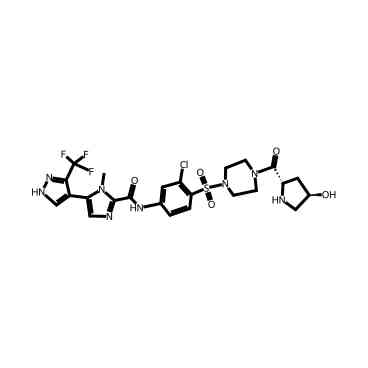 Cn1c(-c2c[nH]nc2C(F)(F)F)cnc1C(=O)Nc1ccc(S(=O)(=O)N2CCN(C(=O)[C@@H]3C[C@@H](O)CN3)CC2)c(Cl)c1